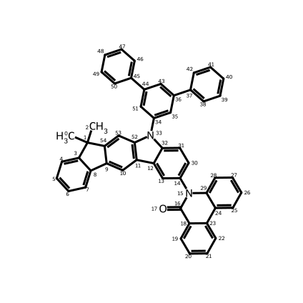 CC1(C)c2ccccc2-c2cc3c4cc(-n5c(=O)c6ccccc6c6ccccc65)ccc4n(-c4cc(-c5ccccc5)cc(-c5ccccc5)c4)c3cc21